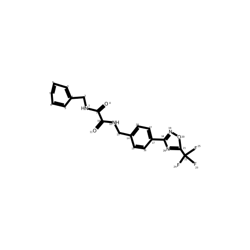 O=C(NCc1ccccc1)C(=O)NCc1ccc(-c2noc(C(F)(F)F)n2)cc1